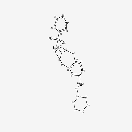 O=S(=O)(NC1C2CCC1Cc1cc(NCC3CCCCC3)ccc1C2)c1ccccc1